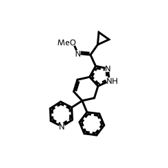 CON=C(c1n[nH]c2c1C=CC(c1ccccc1)(c1cccnc1)C2)C1CC1